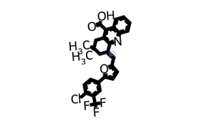 CC1(C)C/C(=C\c2ccc(-c3ccc(Cl)c(C(F)(F)F)c3)o2)c2nc3ccccc3c(C(=O)O)c2C1